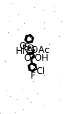 CC(=O)Oc1c(NS(=O)(=O)c2ccccc2)oc(-c2ccc(F)c(Cl)c2)c1O